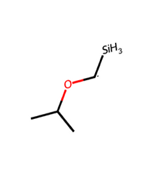 CC(C)O[CH][SiH3]